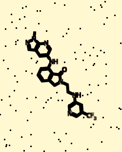 Cn1ncc2cc(Nc3cccc4c3C(=O)N(CCNc3cncc(C(F)(F)F)c3)C4)cnc21